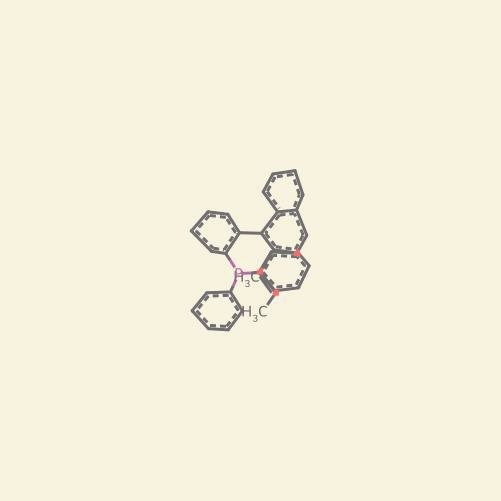 CC=C(C)c1ccc2ccccc2c1-c1ccccc1P(c1ccccc1)c1ccccc1